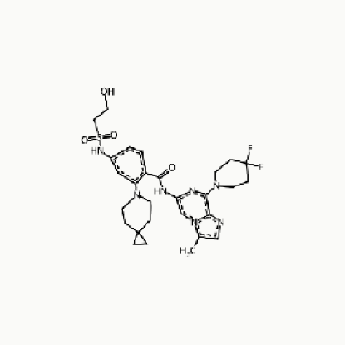 Cc1cnc2c(N3CCC(F)(F)CC3)nc(NC(=O)c3ccc(NS(=O)(=O)CCO)cc3N3CCC4(CC3)CC4)cn12